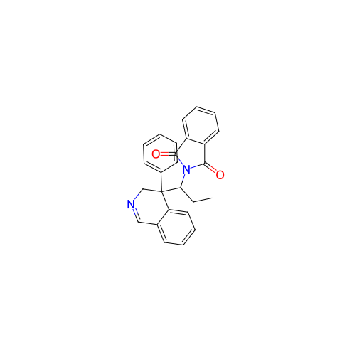 CCC(N1C(=O)c2ccccc2C1=O)C1(c2ccccc2)CN=Cc2ccccc21